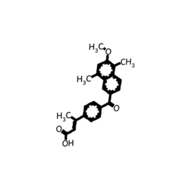 COc1cc(C)c2cc(C(=O)c3ccc(C(C)=CC(=O)O)cc3)ccc2c1C